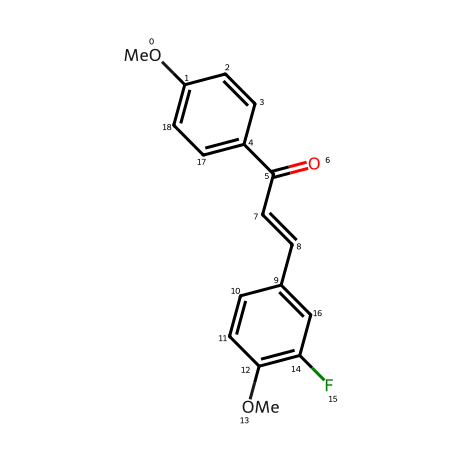 COc1ccc(C(=O)C=Cc2ccc(OC)c(F)c2)cc1